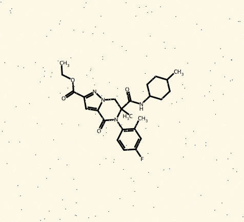 CCOC(=O)c1cc2n(n1)CC(C)(C(=O)NC1CCC(C)CC1)N(c1ccc(F)cc1C)C2=O